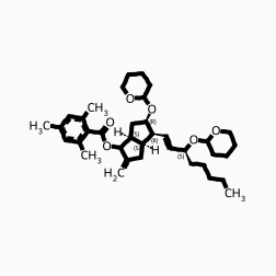 C=C1C[C@@H]2[C@H](C=C[C@H](CCCCC)OC3CCCCO3)[C@H](OC3CCCCO3)C[C@@H]2C1OC(=O)c1c(C)cc(C)cc1C